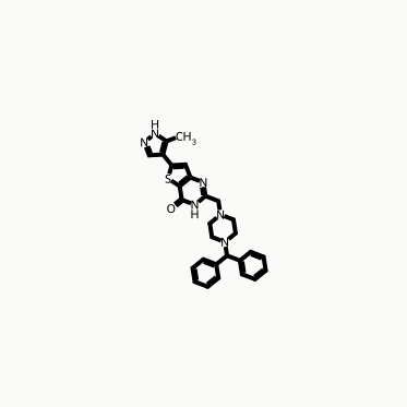 Cc1[nH]ncc1-c1cc2nc(CN3CCN(C(c4ccccc4)c4ccccc4)CC3)[nH]c(=O)c2s1